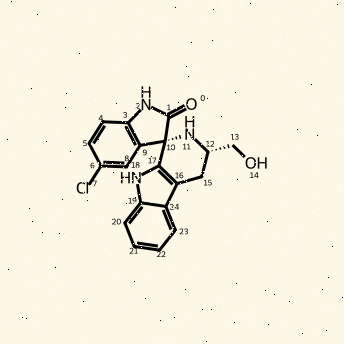 O=C1Nc2ccc(Cl)cc2[C@@]12N[C@H](CO)Cc1c2[nH]c2ccccc12